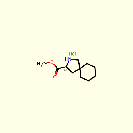 COC(=O)[C@@H]1CC2(CCCCC2)CN1.Cl